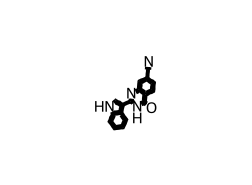 N#Cc1ccc2c(=O)[nH]c(-c3c[nH]c4ccccc34)nc2c1